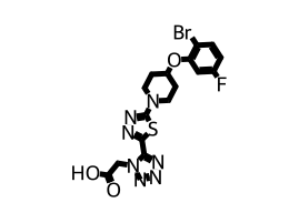 O=C(O)Cn1nnnc1-c1nnc(N2CCC(Oc3cc(F)ccc3Br)CC2)s1